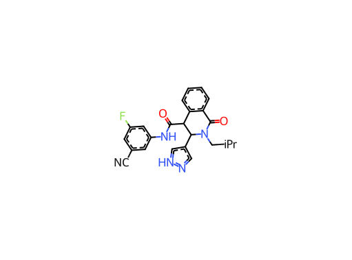 CC(C)CN1C(=O)c2ccccc2C(C(=O)Nc2cc(F)cc(C#N)c2)C1c1cn[nH]c1